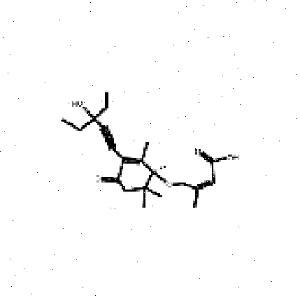 CCC(O)(C#CC1=C(C)[C@@](C)(OC/C(C)=C\C(=O)O)C(C)(C)CC1=O)CC